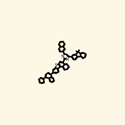 CC1(C)c2ccccc2-c2ccc(-c3cc(-c4ccc5ccccc5c4)nc(-c4cc5sc6cc(-c7ccc(-c8ccccc8)c8ccccc78)ccc6c5c5ccccc45)n3)cc21